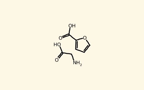 NCC(=O)O.O=C(O)c1ccco1